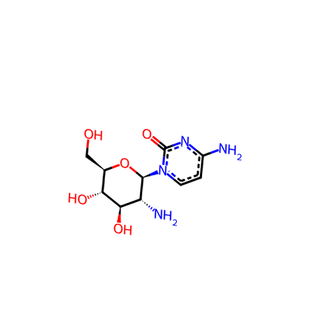 Nc1ccn([C@@H]2O[C@H](CO)[C@@H](O)[C@H](O)[C@H]2N)c(=O)n1